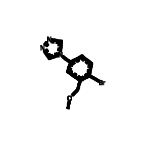 COCc1cc(-n2cnnc2)ccc1Br